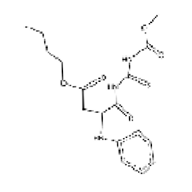 CCCCOC(=O)CC(Nc1ccccc1)C(=O)NC(=S)NC(=O)OC